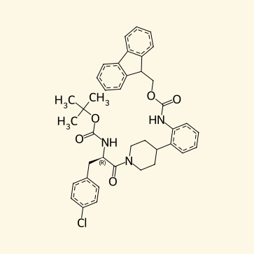 CC(C)(C)OC(=O)N[C@H](Cc1ccc(Cl)cc1)C(=O)N1CCC(c2ccccc2NC(=O)OCC2c3ccccc3-c3ccccc32)CC1